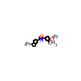 Cc1cc(-c2nc(-c3ccc4c(c3)CCC4C(C)C)co2)ccc1OC(C)C